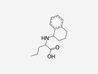 CCCC(NC1CCCc2ccccc21)C(=O)O